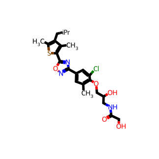 Cc1cc(-c2noc(-c3sc(C)c(CC(C)C)c3C)n2)cc(Cl)c1OCC(O)CNC(=O)CO